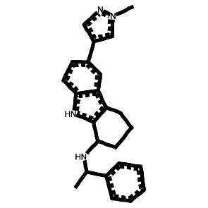 CC(NC1CCCc2c1[nH]c1ccc(-c3cnn(C)c3)cc21)c1ccccc1